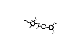 CCCc1nc(OC)c(NC(=O)N2CCN(c3cc(OC)cc(OC)c3)CC2)cc1C